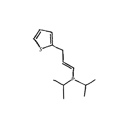 CC(C)P(C=CCc1cccs1)C(C)C